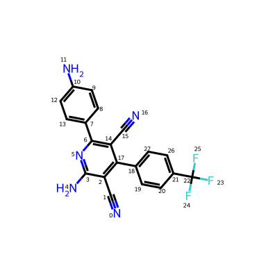 N#Cc1c(N)nc(-c2ccc(N)cc2)c(C#N)c1-c1ccc(C(F)(F)F)cc1